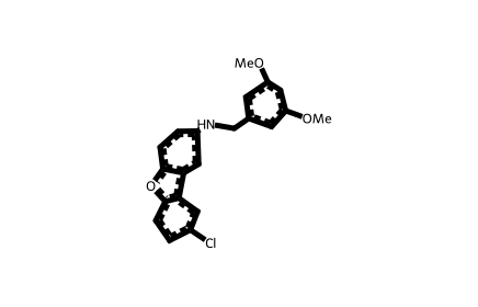 COc1cc(CNc2ccc3oc4ccc(Cl)cc4c3c2)cc(OC)c1